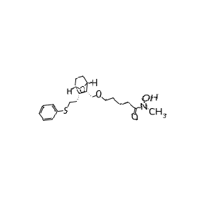 CN(O)C(=O)CCCCOC[C@@H]1[C@H](CCSc2ccccc2)[C@@H]2CC[C@H]1O2